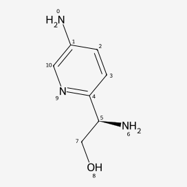 Nc1ccc([C@@H](N)CO)nc1